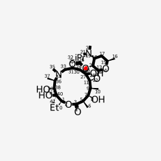 CC[C@H]1OC(=O)[C@H](C)[C@@H](O)[C@H](C)[C@@H](O[C@@H]2O[C@H](C)C[C@H](N(C)C)[C@H]2OC(=O)C(C)C)[C@](C)(O)C[C@@H](C)CN(C)[C@H](C)[C@@H](O)[C@]1(C)O